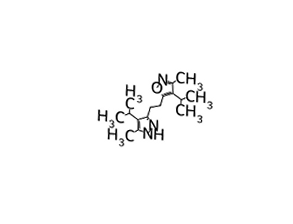 Cc1noc(CCc2n[nH]c(C)c2C(C)C)c1C(C)C